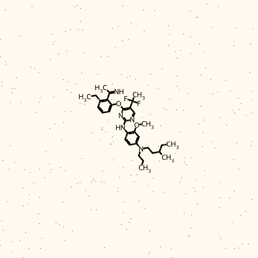 CCCN(CCC(C)CC)c1ccc(Nc2ncc(C(C)(F)F)c(Oc3cccc(CC)c3C(C)=N)n2)c(OC)c1